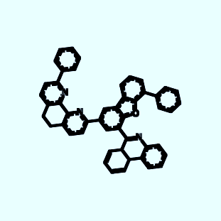 C1=CC2C(c3cc(-c4ccc5c(n4)-c4nc(-c6ccccc6)ccc4CC5)cc4c3oc3c(-c5ccccc5)cccc34)=Nc3ccccc3C2C=C1